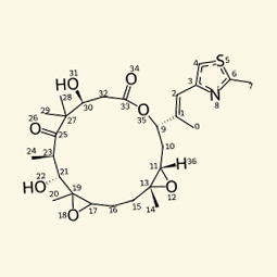 CC(=Cc1csc(C)n1)[C@@H]1C[C@@H]2O[C@]2(C)CCC2OC2(C)[C@H](O)[C@@H](C)C(=O)C(C)(C)[C@@H](O)CC(=O)O1